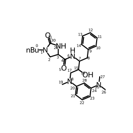 CCCCN1CC(C(=O)NC(Cc2ccccc2)C(O)CN(C)c2cccc(N(C)C)c2)NC1=O